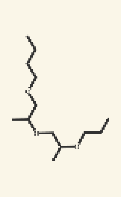 C[CH]COC(C)COC(C)COCCCC